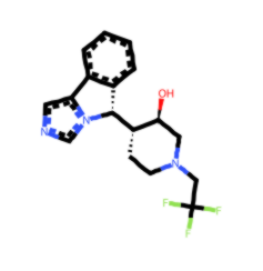 O[C@H]1CN(CC(F)(F)F)CC[C@@H]1[C@H]1c2ccccc2-c2cncn21